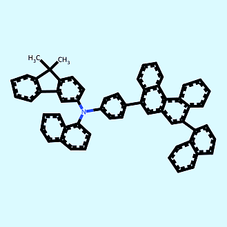 CC1(C)c2ccccc2-c2cc(N(c3ccc(-c4cc5cc(-c6cccc7ccccc67)c6ccccc6c5c5ccccc45)cc3)c3cccc4ccccc34)ccc21